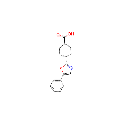 O=C(O)[C@H]1CC[C@H](c2ncc(-c3ccccc3)o2)CC1